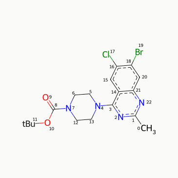 Cc1nc(N2CCN(C(=O)OC(C)(C)C)CC2)c2cc(Cl)c(Br)cc2n1